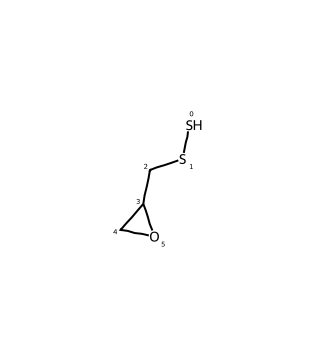 SSCC1CO1